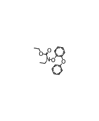 CCOC(=O)N(CC)Oc1ccccc1Oc1ccccc1